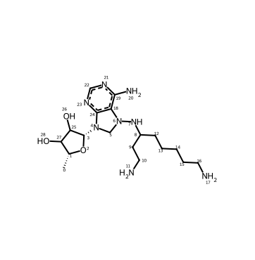 C[C@H]1O[C@@H](N2CN(NC(CCN)CCCCCN)c3c(N)ncnc32)C(O)C1O